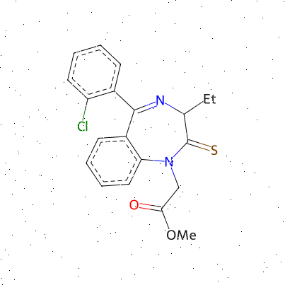 CCC1N=C(c2ccccc2Cl)c2ccccc2N(CC(=O)OC)C1=S